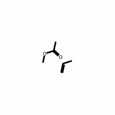 C=CC.COC(C)=O